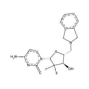 Nc1ccn([C@@H]2O[C@H](CN3Cc4ccccc4C3)[C@@H](O)C2(F)F)c(=O)n1